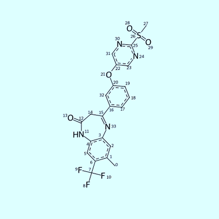 Cc1cc2c(cc1C(F)(F)F)NC(=O)CC(c1cccc(Oc3cnc(S(C)(=O)=O)nc3)c1)=N2